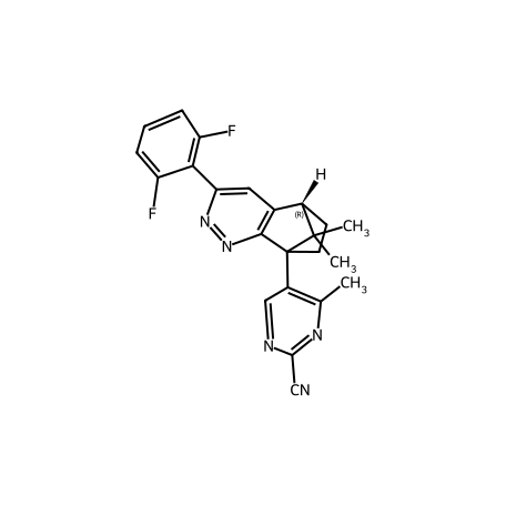 Cc1nc(C#N)ncc1C12CC[C@@H](c3cc(-c4c(F)cccc4F)nnc31)C2(C)C